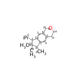 CC(C)C1c2cc3c(cc2C(C)C1(C)C)CCOC3